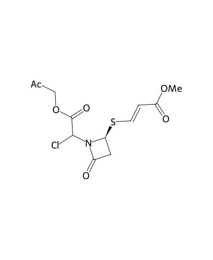 COC(=O)C=CS[C@H]1CC(=O)N1C(Cl)C(=O)OCC(C)=O